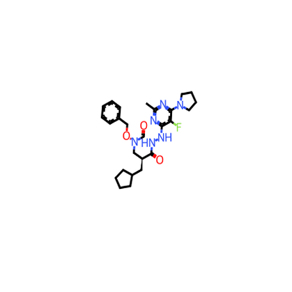 Cc1nc(NNC(=O)[C@@H](CC2CCCC2)CN(C=O)OCc2ccccc2)c(F)c(N2CCCC2)n1